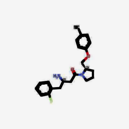 N#Cc1ccc(OC[C@@H]2CCCN2C(=O)C[C@H](N)Cc2ccccc2F)cc1